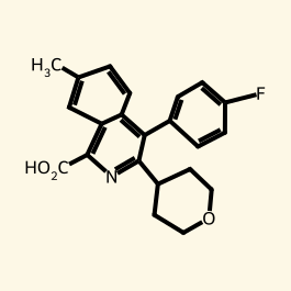 Cc1ccc2c(-c3ccc(F)cc3)c(C3CCOCC3)nc(C(=O)O)c2c1